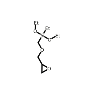 CCO[Si](CC)(COCC1CO1)OCC